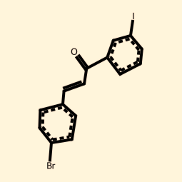 O=C(/C=C/c1ccc(Br)cc1)c1cccc(I)c1